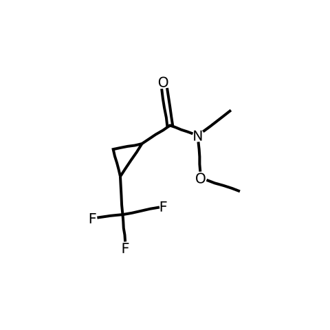 CON(C)C(=O)C1CC1C(F)(F)F